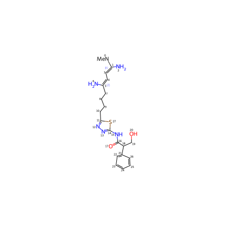 CN/C(N)=C/C=C(\N)CCCCc1nnc(NC(=O)C(CO)c2ccccc2)s1